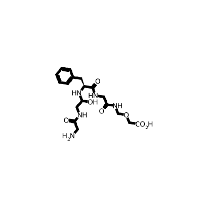 NCC(=O)NCC(O)N[C@@H](Cc1ccccc1)C(=O)NCC(=O)NCOCC(=O)O